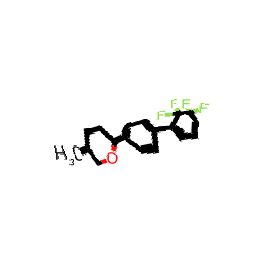 CC1CCC(c2ccc(C3=CC=CC(F)(F)C3(F)F)cc2)OC1